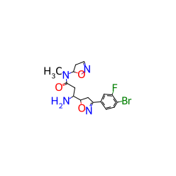 CN(C(=O)CC(N)C1CC(c2ccc(Br)c(F)c2)=NO1)C1CC=NO1